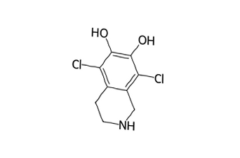 Oc1c(O)c(Cl)c2c(c1Cl)CCNC2